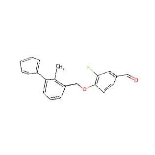 Cc1c(COc2ccc(C=O)cc2F)cccc1-c1ccccc1